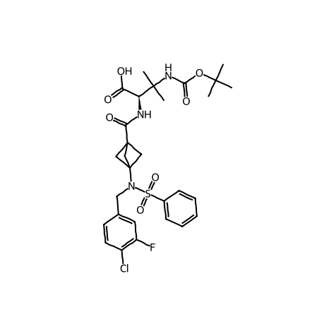 CC(C)(C)OC(=O)NC(C)(C)[C@@H](NC(=O)C12CC(N(Cc3ccc(Cl)c(F)c3)S(=O)(=O)c3ccccc3)(C1)C2)C(=O)O